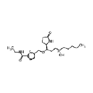 CCCCC[C@H](O)CCC(OCc1ccc(C(=O)NCC)s1)C1CCC(=O)N1